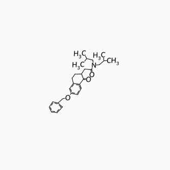 CC(C)CN(CC(C)C)C(=O)CC1CCc2cc(OCc3ccccc3)ccc2C1=O